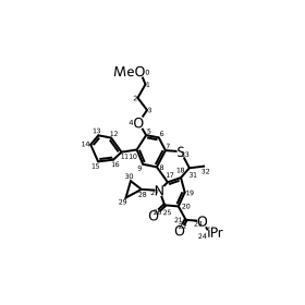 COCCCOc1cc2c(cc1-c1ccccc1)-c1c(cc(C(=O)OC(C)C)c(=O)n1C1CC1)C(C)S2